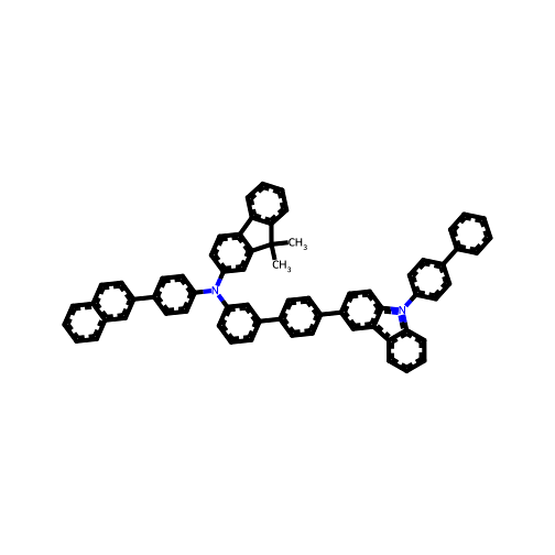 CC1(C)c2ccccc2-c2ccc(N(c3ccc(-c4ccc5ccccc5c4)cc3)c3cccc(-c4ccc(-c5ccc6c(c5)c5ccccc5n6-c5ccc(-c6ccccc6)cc5)cc4)c3)cc21